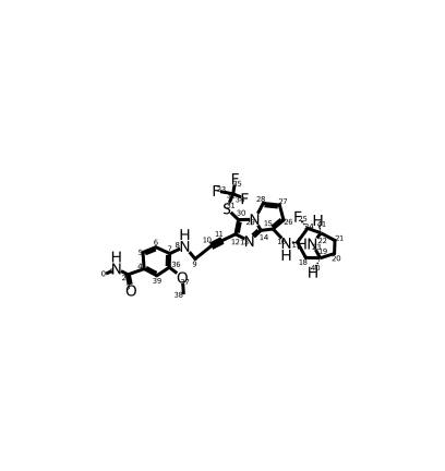 CNC(=O)c1ccc(NCC#Cc2nc3c(N[C@H]4C[C@@H]5CC[C@@H](N5)[C@H]4F)cccn3c2SC(F)(F)F)c(OC)c1